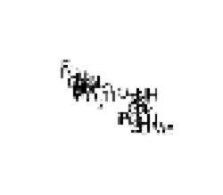 CC[C@@H](C(=O)N1C(c2nc(-c3ccc(-c4ccc(-c5c[nH]c(C6CCCN6C(=O)[C@@H](NC(=O)OC)C(C)C)n5)cc4)cc3)c[nH]2)CCC12CCC(F)(F)CC2)N(C)C(=O)O